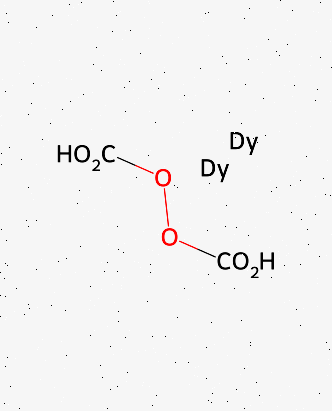 O=C(O)OOC(=O)O.[Dy].[Dy]